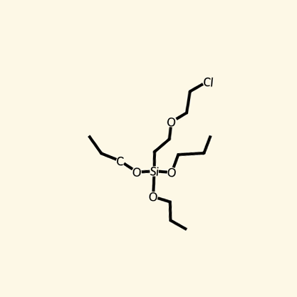 CCCO[Si](CCOCCCl)(OCCC)OCCC